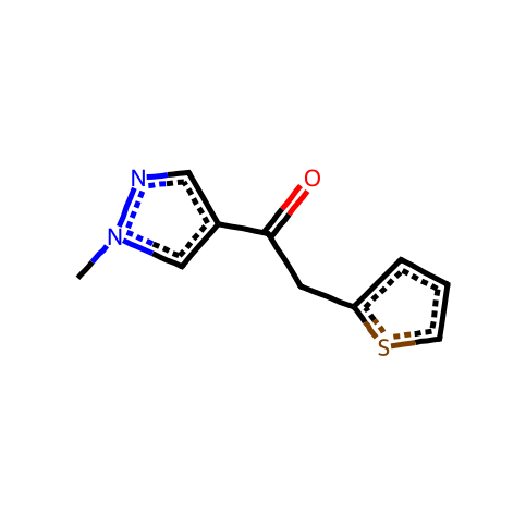 Cn1cc(C(=O)Cc2cccs2)cn1